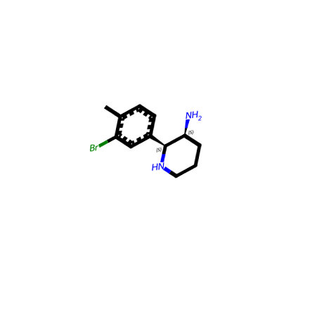 Cc1ccc([C@@H]2NCCC[C@@H]2N)cc1Br